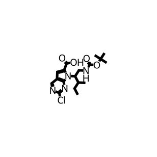 CCC(C)C(CNC(=O)OC(C)(C)C)n1c(C(=O)O)cc2cnc(Cl)nc21